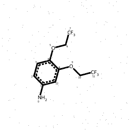 Nc1ccc(OCC(F)(F)F)c(OCC(F)(F)F)c1